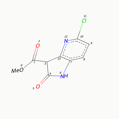 COC(=O)C1C(=O)Nc2ccc(Cl)nc21